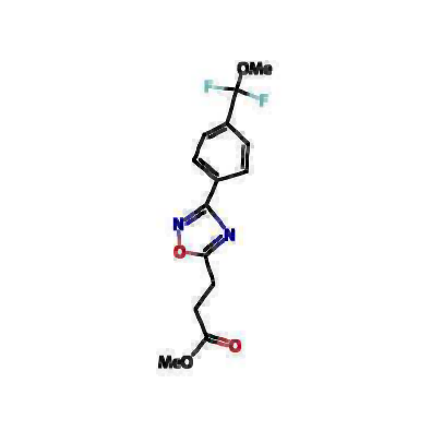 COC(=O)CCc1nc(-c2ccc(C(F)(F)OC)cc2)no1